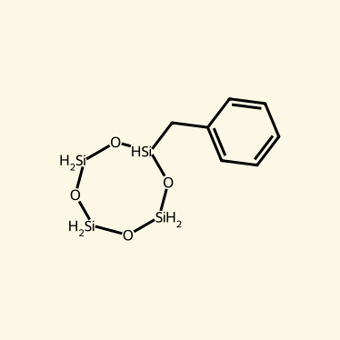 c1ccc(C[SiH]2O[SiH2]O[SiH2]O[SiH2]O2)cc1